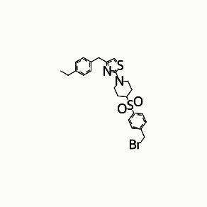 CCc1ccc(Cc2csc(N3CCC(S(=O)(=O)c4ccc(CBr)cc4)CC3)n2)cc1